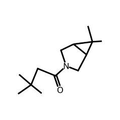 CC(C)(C)CC(=O)N1CC2C(C1)C2(C)C